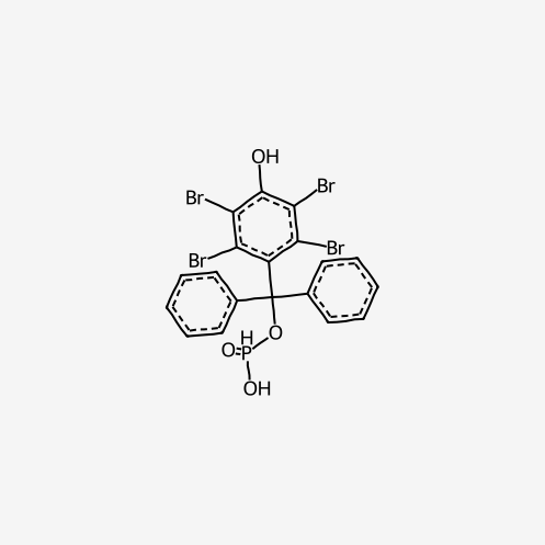 O=[PH](O)OC(c1ccccc1)(c1ccccc1)c1c(Br)c(Br)c(O)c(Br)c1Br